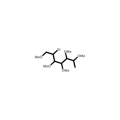 CCC(COC)C(OC)C(OC)C(OC)C(C)OC